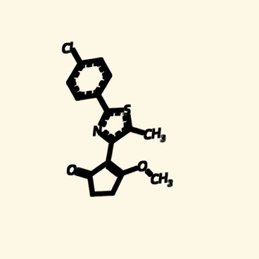 COC1=C(c2nc(-c3ccc(Cl)cc3)sc2C)C(=O)CC1